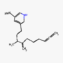 C=C=CCCCC(=C)C(C)CCC1=CC(NC)=CNC1